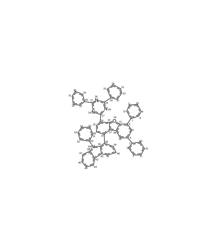 c1ccc(-c2cc(-c3ccccc3)c3oc4c(-c5nc(-c6ccccc6)nc(-c6ccccc6)n5)ccc(-c5cccc6c7ccccc7n(-c7ccccc7)c56)c4c3c2)cc1